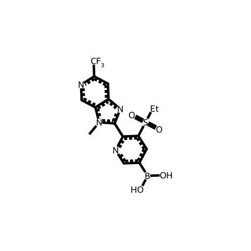 CCS(=O)(=O)c1cc(B(O)O)cnc1-c1nc2cc(C(F)(F)F)ncc2n1C